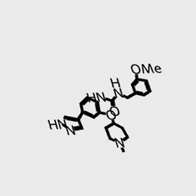 COc1cccc(CNC(=O)Nc2ccc(-c3cn[nH]c3)cc2OC2CCN(C)CC2)c1